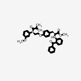 C=C(C)C(=O)N(CCOc1ccc(C[C@H](Nc2ccccc2C(=O)c2ccccc2)C(=O)OC)cc1)c1cccc(OC)c1